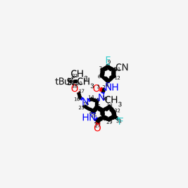 CN(C(=O)Nc1ccc(F)c(C#N)c1)C1CN(CCO[Si](C)(C)C(C)(C)C)Cc2[nH]c(=O)c3cc(F)ccc3c21